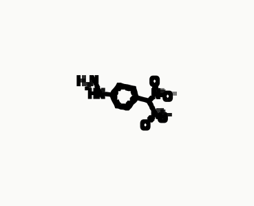 NNc1ccc(C([N+](=O)[O-])[N+](=O)[O-])cc1